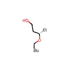 CCC(C)CO[C@@H](CC)CCO